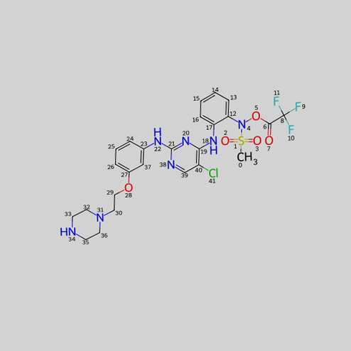 CS(=O)(=O)N(OC(=O)C(F)(F)F)c1ccccc1Nc1nc(Nc2cccc(OCCN3CCNCC3)c2)ncc1Cl